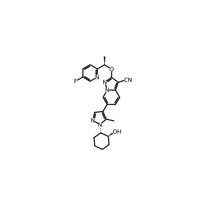 Cc1c(-c2ccc3c(C#N)c(O[C@H](C)c4ccc(F)cn4)nn3c2)cnn1[C@H]1CCCC[C@@H]1O